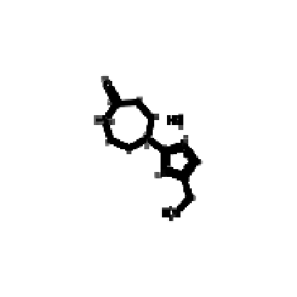 Cl.NCc1cnc(N2CCNC(=O)CC2)s1